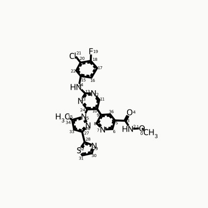 CONC(=O)c1cncc(-c2cnc(Nc3ccc(F)c(Cl)c3)nc2-n2nc(-c3nccs3)cc2C)c1